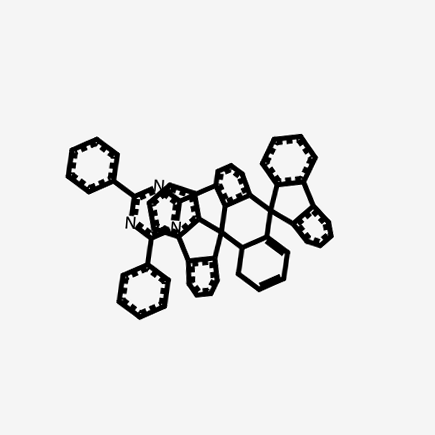 C1=CCC2C(=C1)C1(c3ccccc3-c3ccccc31)c1cccc(-c3nc(-c4ccccc4)nc(-c4ccccc4)n3)c1C21c2ccccc2-c2ccccc21